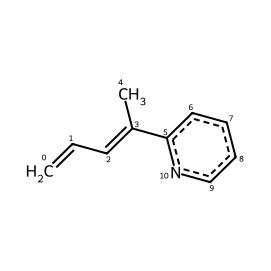 C=CC=C(C)c1ccccn1